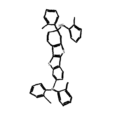 Cc1ccccc1NC1(c2ccccc2C)C=Cc2c(sc3c2sc2cc(N(c4ccccc4C)c4ccccc4C)ccc23)C1